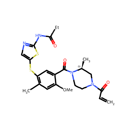 C=CC(=O)N1CCN(C(=O)c2cc(Sc3cnc(NC(=O)CC)s3)c(C)cc2OC)[C@@H](C)C1